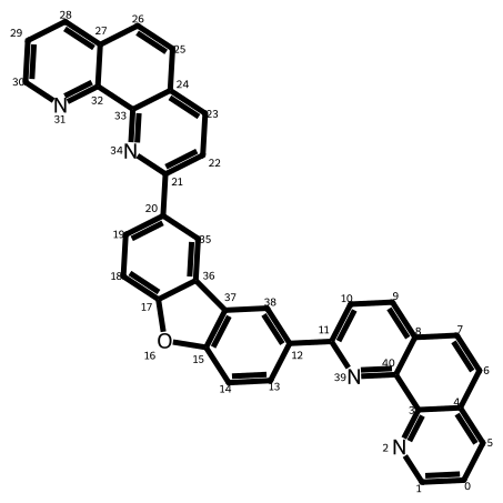 c1cnc2c(c1)ccc1ccc(-c3ccc4oc5ccc(-c6ccc7ccc8cccnc8c7n6)cc5c4c3)nc12